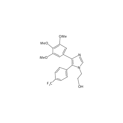 COc1cc(-c2ncn(CCO)c2-c2ccc(C(F)(F)F)cc2)cc(OC)c1OC